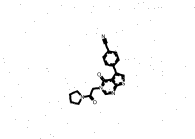 N#Cc1ccc(-c2csc3ncn(CC(=O)N4CCCC4)c(=O)c23)cc1